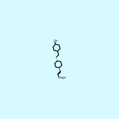 CCCCCCC/C=C/[C@H]1CC[C@H](CCC2CCC(C#N)CC2)CC1